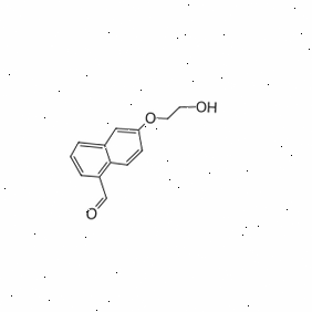 O=Cc1cccc2cc(OCCO)ccc12